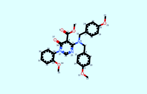 COC(=O)c1c(N(Cc2ccc(OC)cc2)Cc2ccc(OC)cc2)ncn(-c2ccccc2OC)c1=O